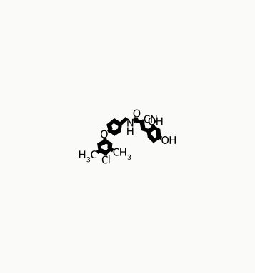 Cc1cc(Oc2ccc(CNC(=O)C(C#N)=Cc3ccc(O)cc3O)cc2)cc(C)c1Cl